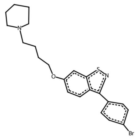 Brc1ccc(-c2nsc3cc(OCCCCN4CCCCC4)ccc23)cc1